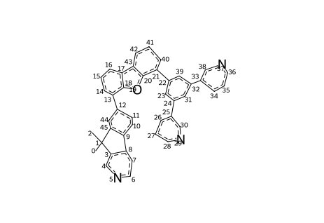 CC1(C)c2cnccc2-c2ccc(-c3cccc4c3oc3c(-c5cc(-c6cccnc6)cc(-c6cccnc6)c5)cccc34)cc21